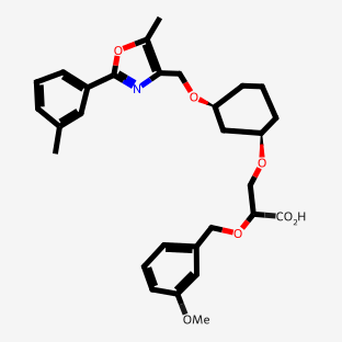 COc1cccc(COC(CO[C@@H]2CCC[C@H](OCc3nc(-c4cccc(C)c4)oc3C)C2)C(=O)O)c1